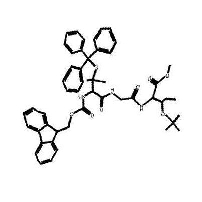 COC(=O)C(NC(=O)CNC(=O)C(NC(=O)OCC1c2ccccc2-c2ccccc21)C(C)(C)SC(c1ccccc1)(c1ccccc1)c1ccccc1)C(C)OC(C)(C)C